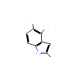 Cc1cc2c(Cl)c(F)ccc2[nH]1